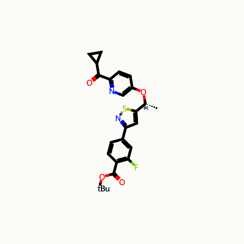 C[C@@H](Oc1ccc(C(=O)C2CC2)nc1)c1cc(-c2ccc(C(=O)OC(C)(C)C)c(F)c2)ns1